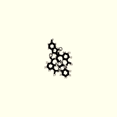 Cc1ccc2c(c1)C(=O)/C(=C/C=C1N(c3c(C(C)C)cccc3C(C)C)c3nc4ccccc4nc3N1c1c(C(C)C)cccc1C(C)C)C2=O